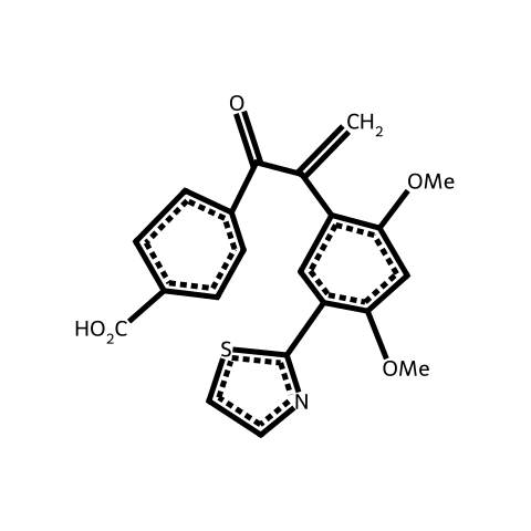 C=C(C(=O)c1ccc(C(=O)O)cc1)c1cc(-c2nccs2)c(OC)cc1OC